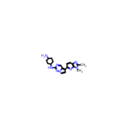 Cc1nc2ccc(-c3ccn4nc(NC5CCC(N)CC5)ncc34)nc2n1C